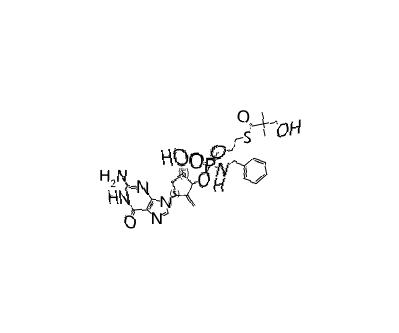 C=C1C(OP(=O)(NCc2ccccc2)OCCSC(=O)C(C)(C)CO)[C@@H](O)C[C@@H]1n1cnc2c(=O)[nH]c(N)nc21